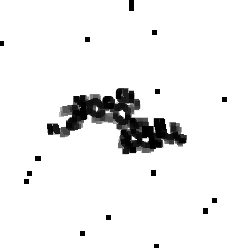 Cc1cc(Nc2ncnc3cnc(NCC(F)F)nc23)ccc1Oc1ccc2c(c1)ncn2C